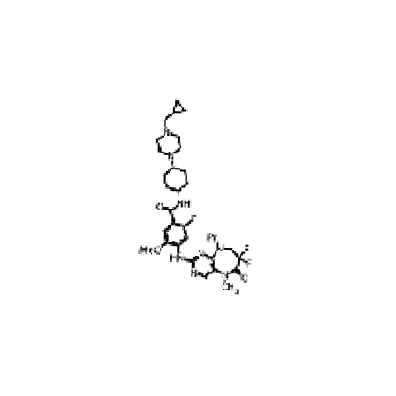 COc1cc(C(=O)N[C@H]2CC[C@H](N3CCN(CC4CC4)CC3)CC2)c(F)cc1Nc1ncc2c(n1)N(C(C)C)CC(F)(F)C(=O)N2C